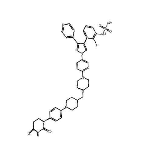 CCCS(=O)(=O)Nc1cccc(-c2cn(-c3ccc(N4CCN(CC5CCN(c6ccc([C@@H]7CCC(=O)NC7=O)cc6)CC5)CC4)nc3)nc2-c2ccncc2)c1F